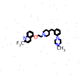 CN1CCN(c2cccc(CC3CCN(CCOc4cccc5nc(C(F)(F)F)ccc45)CC3)c2)CC1